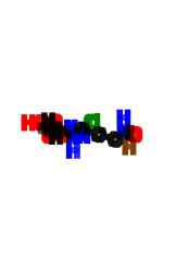 C[SH](C)(=O)Nc1cccc(-c2ccc(-c3nc4[nH]c(O[C@@H]5CO[C@H]6[C@@H]5OC[C@H]6O)nc4cc3Cl)cc2)c1